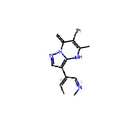 C=C1C(C(C)C)=C(C)Nc2c(C(/C=N\C)=C/C)cnn21